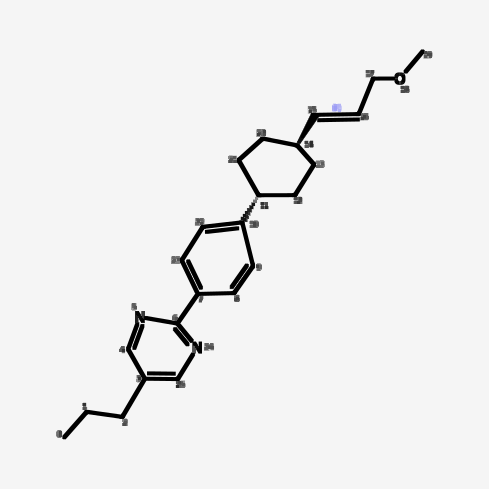 CCCc1cnc(-c2ccc([C@H]3CC[C@H](/C=C/COC)CC3)cc2)nc1